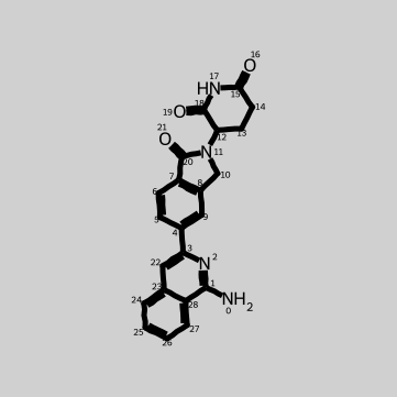 Nc1nc(-c2ccc3c(c2)CN(C2CCC(=O)NC2=O)C3=O)cc2ccccc12